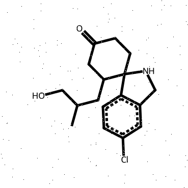 CC(CO)CC1CC(=O)CCC12NCc1cc(Cl)ccc12